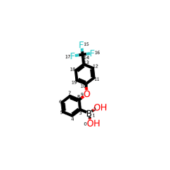 OB(O)c1ccccc1Oc1ccc(C(F)(F)F)cc1